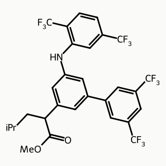 COC(=O)C(CC(C)C)c1cc(Nc2cc(C(F)(F)F)ccc2C(F)(F)F)cc(-c2cc(C(F)(F)F)cc(C(F)(F)F)c2)c1